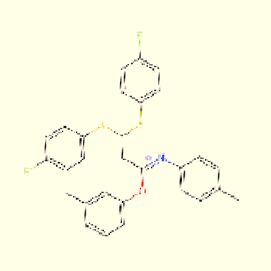 Cc1ccc(/N=C(/CC(Sc2ccc(F)cc2)Sc2ccc(F)cc2)Oc2cccc(C)c2)cc1